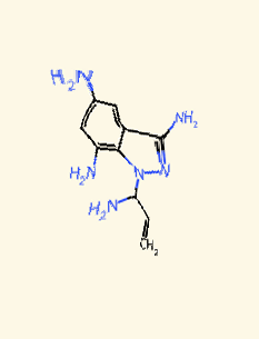 C=CC(N)n1nc(N)c2cc(N)cc(N)c21